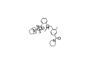 Cc1cc(C(=O)N2CCCCC2)ccc1COc1ccccc1-c1csc(N2C3CCC2CC(C(=O)O)C3)n1